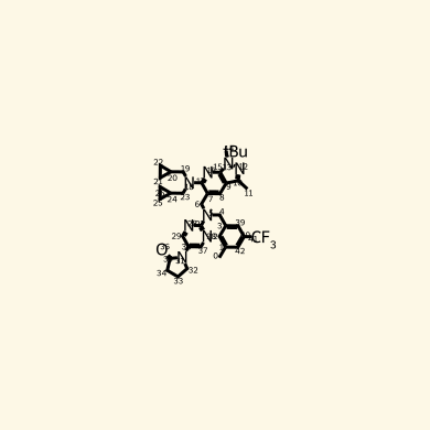 Cc1cc(CN(Cc2cc3c(C)nn(C(C)(C)C)c3nc2N(CC2CC2)CC2CC2)c2ncc(N3CCCC3=O)cn2)cc(C(F)(F)F)c1